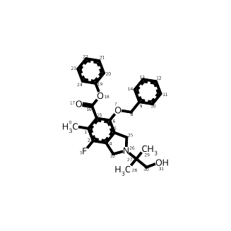 Cc1c(F)c2c(c(OCc3ccccc3)c1C(=O)Oc1ccccc1)CN(C(C)(C)CO)C2